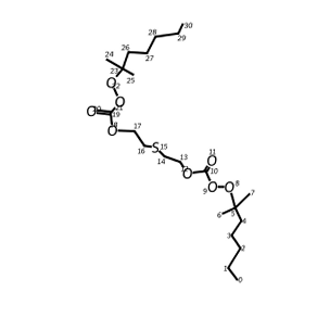 CCCCCC(C)(C)OOC(=O)OCCSCCOC(=O)OOC(C)(C)CCCCC